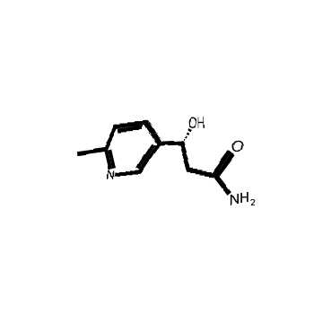 Cc1ccc([C@H](O)CC(N)=O)cn1